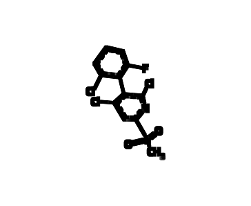 CS(=O)(=O)c1cc(Cl)c(-c2c(F)cccc2Cl)c(Cl)n1